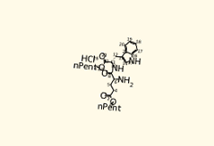 CCCCCOC(=O)CC[C@H](N)C(=O)N[C@@H](Cc1c[nH]c2ccccc12)C(=O)OCCCCC.Cl